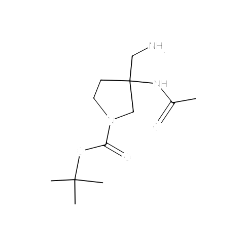 CC(=O)NC1(CN)CCN(C(=O)OC(C)(C)C)C1